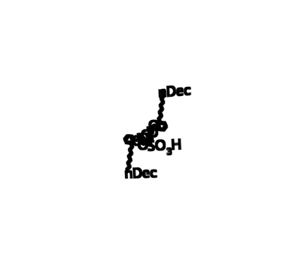 CCCCCCCCCCCCCCCCCCc1ccccc1OC(C)OC(=O)CC(C(=O)OC(C)Oc1ccccc1CCCCCCCCCCCCCCCCCC)S(=O)(=O)O